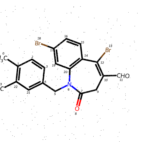 Cc1ccc(CN2C(=O)CC(C=O)=C(Br)c3ccc(Br)cc32)cc1C